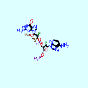 CSC(OPOC[C@H]1[C@H](F)[C@H](n2cnc3c(N)ccnc32)O[C@@H]1COP)[C@H](F)[C@@H](OS)n1cnc2c(=O)[nH]c(N)nc21